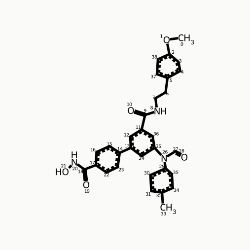 COc1ccc(CCNC(=O)c2cc(-c3ccc(C(=O)NO)cc3)cc(N(C=O)c3ccc(C)cc3)c2)cc1